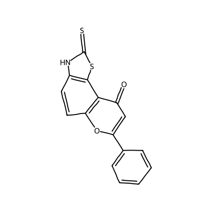 O=c1cc(-c2ccccc2)oc2ccc3[nH]c(=S)sc3c12